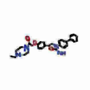 CCN1CCN(C(=O)COc2ccc(C3CN(c4ccc(-c5ccccc5)cc4)C(=N)O3)cc2)CC1